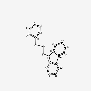 c1ccc(CCCC2c3ccccc3-c3ccccc32)cc1